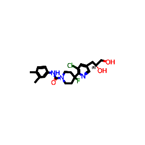 Cc1ccc(NC(=O)N2CCC(F)(c3ncc(C[C@@H](O)CO)cc3Cl)CC2)cc1C